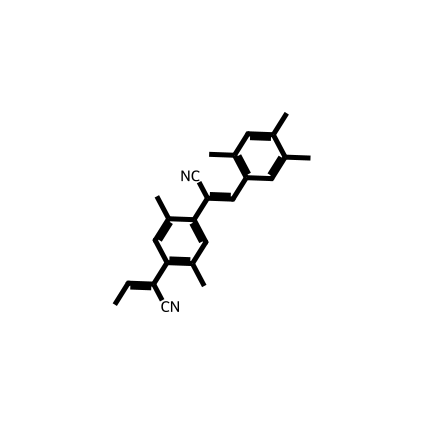 C/C=C(\C#N)c1cc(C)c(/C(C#N)=C/c2cc(C)c(C)cc2C)cc1C